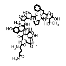 C[C@@H](O)[C@H](NC(=O)[C@H](Cc1ccccc1)NC(=O)[C@@H]1CCCN1C(=O)[C@H](CO)NC(=O)[C@@H](NC(=O)[C@H](Cc1ccc(O)cc1)NC(=O)[C@H](CC(=O)O)NC(=O)[C@H](CCC(N)=O)NC(=O)[C@@H](N)CCC(N)=O)[C@@H](C)O)C(=O)O